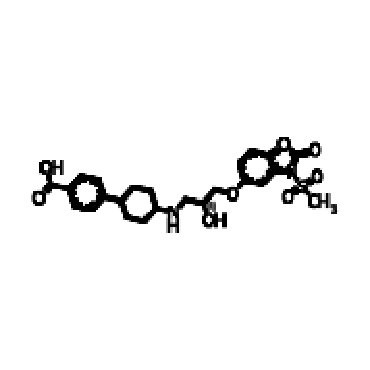 CS(=O)(=O)n1c(=O)oc2ccc(OC[C@@H](O)CNC3CCC(c4ccc(C(=O)O)cc4)CC3)cc21